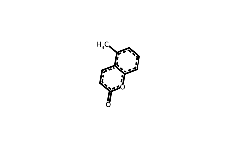 Cc1cccc2oc(=O)ccc12